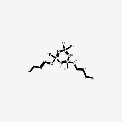 CCC=COP1(F)=NP(F)(F)=NP(F)(OC=CCC)=N1